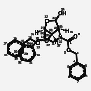 O=C(OCc1ccccc1)N1C[C@H](OCc2ccccc2)[C@H]2OC(O)[C@@H]1[C@H]2OCc1ccccc1